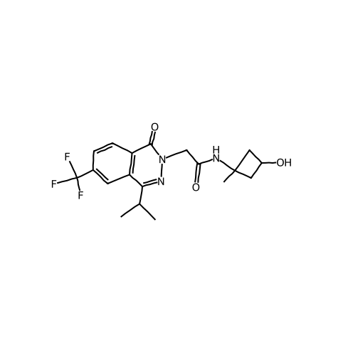 CC(C)c1nn(CC(=O)NC2(C)CC(O)C2)c(=O)c2ccc(C(F)(F)F)cc12